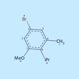 COc1cc(Br)cc(C)c1C(C)C